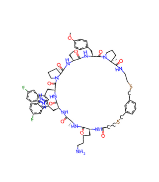 CC[C@@H]1NC(=O)[C@]2(C)CCCN2C(=O)[C@H](Cc2c[nH]c3ccc(F)cc23)NC(=O)[C@H](Cc2c[nH]c3ccc(F)cc23)NC(=O)[C@@H](C)NC(=O)[C@H](CCCCN)NC(=O)CCSCc2cccc(c2)CSCCNC(=O)[C@]2(C)CCCN2C(=O)[C@H](Cc2ccc(OC)cc2)NC1=O